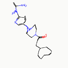 C=C(N)Nc1ccc(N2CCN(C(=O)CC3CCCCC3)CC2)cn1